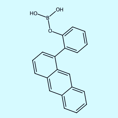 OB(O)Oc1ccccc1-c1cccc2cc3ccccc3cc12